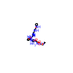 CC(C)CNP(C)CCOC(=O)C(N)CCC(=O)N1CCC(Nc2nc(NCc3cn(CCCNCCCNC4CCCCC4)nn3)nc3ccccc23)CC1